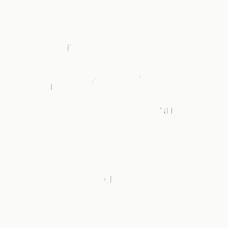 NC(=O)c1cc(Cl)ccc1OC(F)F